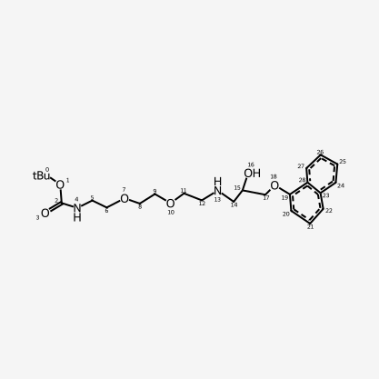 CC(C)(C)OC(=O)NCCOCCOCCNCC(O)COc1cccc2ccccc12